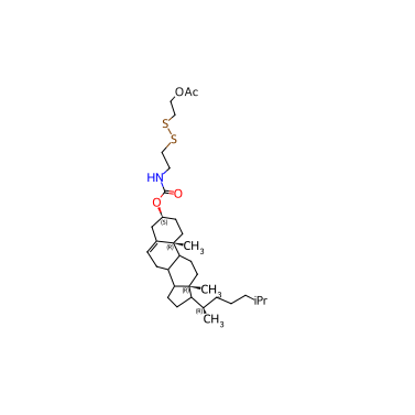 CC(=O)OCCSSCCNC(=O)O[C@H]1CC[C@@]2(C)C(=CCC3C4CCC([C@H](C)CCCC(C)C)[C@@]4(C)CCC32)C1